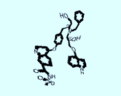 CS(=O)(=O)NC(=O)c1ccc2c(Oc3ccc(C[C@@H](CO)N(Cc4ccccc4)C[C@H](O)COc4cccc5[nH]ccc45)cc3)ccnc2c1